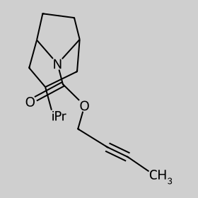 CC#CCOC(=O)N1C2CCC1CC(C(C)C)C2